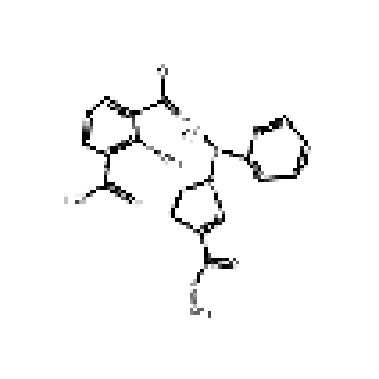 COC(=O)C1=CN(C(C)c2ccccc2)CC1.Cc1c(C(=O)O)cccc1C(=O)O